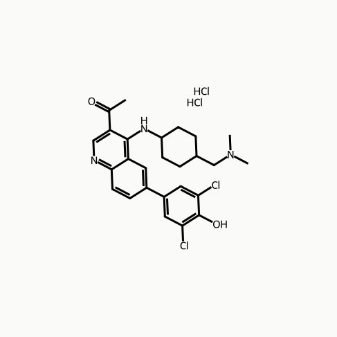 CC(=O)c1cnc2ccc(-c3cc(Cl)c(O)c(Cl)c3)cc2c1NC1CCC(CN(C)C)CC1.Cl.Cl